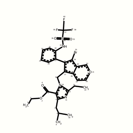 CCOC(=O)c1c(CC(C)C)nc(CC)n1Cc1c2ccocc-2c(Br)c1-c1ccccc1NS(=O)(=O)C(F)(F)F